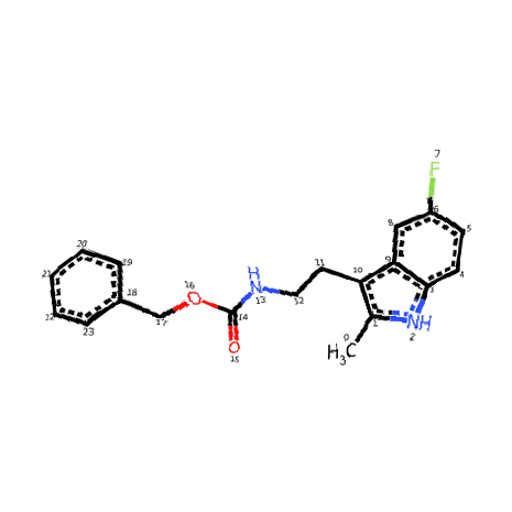 Cc1[nH]c2ccc(F)cc2c1CCNC(=O)OCc1ccccc1